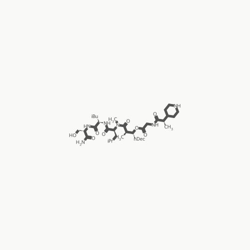 CCCCCCCCCC[C@@H](OC(=O)CNC(=O)[C@@H](C)C1CCNCC1)[C@@H](C)C(=O)N(C)[C@@H](CC(C)C)C(=O)N[C@H](C(=O)N[C@@H](CO)C(N)=O)[C@@H](C)CC